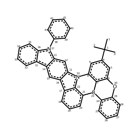 CC(C)(C)c1cc2c3c(c1)-n1c4cc5c(cc4c4cccc(c41)B3c1ccccc1O2)c1ccccc1n5-c1ccccc1